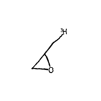 [3H]CC1CO1